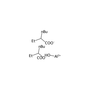 CCCCC(CC)C(=O)[O-].CCCCC(CC)C(=O)[O-].[OH][Al+2]